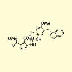 COC(=O)c1scc(NC(=O)Nc2cc(Cn3ccc4ccccc43)c(OC)cc2F)c1C(=O)O